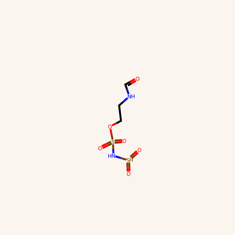 O=CNCCOS(=O)(=O)N[SH](=O)=O